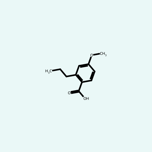 CCCc1cc(OC)ccc1C(=O)O